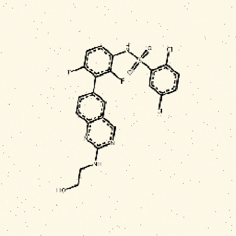 O=S(=O)(Nc1ccc(F)c(-c2ccc3nc(NCCO)ncc3c2)c1F)c1cc(Cl)ccc1Cl